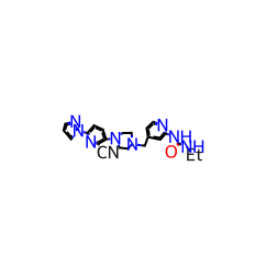 CCNC(=O)Nc1cc(CN2CCN(c3ccc(-n4cccn4)nc3C#N)CC2)ccn1